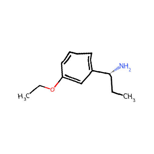 CCOc1cccc([C@H](N)CC)c1